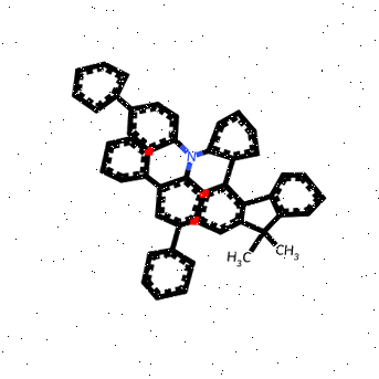 CC1(C)c2ccccc2-c2c(-c3ccccc3N(c3ccc(-c4ccccc4)cc3)c3ccc(-c4ccccc4)cc3-c3ccccc3)cccc21